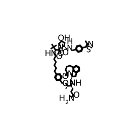 Cc1ncsc1-c1ccc(CNC(=O)[C@@H]2C[C@@H](O)CN2C(=O)[C@@H](NC(=O)CCCCCc2ccc(CO[C@H](C)[C@H](CCC(N)=O)NC[C@@H]3Cc4cccc5c4N3C(=O)CCC5)cc2)C(C)(C)C)cc1